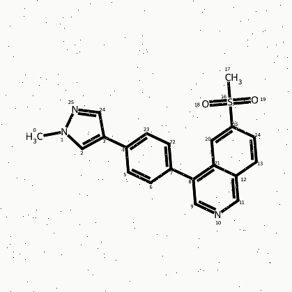 Cn1cc(-c2ccc(-c3cncc4ccc(S(C)(=O)=O)cc34)cc2)cn1